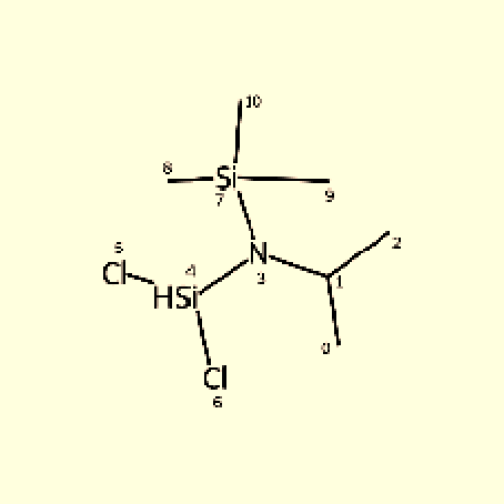 CC(C)N([SiH](Cl)Cl)[Si](C)(C)C